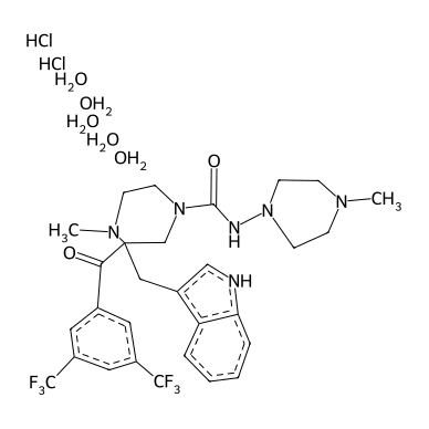 CN1CCN(NC(=O)N2CCN(C)C(Cc3c[nH]c4ccccc34)(C(=O)c3cc(C(F)(F)F)cc(C(F)(F)F)c3)C2)CC1.Cl.Cl.O.O.O.O.O